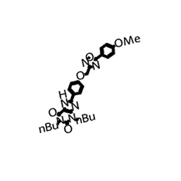 CCCCn1c(=O)c2[nH]c(-c3ccc(OCc4noc(-c5ccc(OC)cc5)n4)cc3)nc2n(CCCC)c1=O